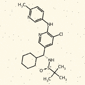 Cc1ccc(Nc2ncc([C@H](N[S@+]([O-])C(C)(C)C)C3CCCCC3)cc2Cl)cn1